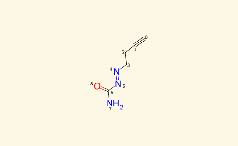 C#CCCN=NC(N)=O